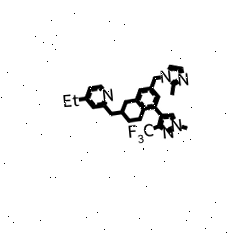 CCc1ccnc(CC2CCc3c(cc(Cn4ccnc4C)cc3-c3cn(C)nc3C(F)(F)F)C2)c1